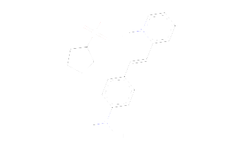 CN(C)c1ccc(C=Cc2cccc[n+]2C)cc1.O=S(=O)([O-])C1CCCC1